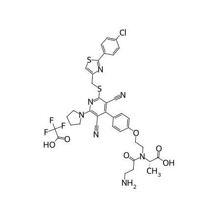 C[C@@H](C(=O)O)N(CCOc1ccc(-c2c(C#N)c(SCc3csc(-c4ccc(Cl)cc4)n3)nc(N3CCCC3)c2C#N)cc1)C(=O)CCN.O=C(O)C(F)(F)F